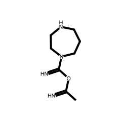 CC(=N)OC(=N)N1CCCNCC1